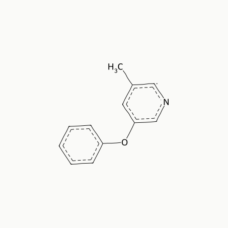 Cc1[c]ncc(Oc2ccccc2)c1